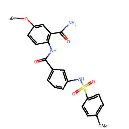 CCCCOc1ccc(NC(=O)c2cccc(NS(=O)(=O)c3ccc(OC)cc3)c2)c(C(N)=O)c1